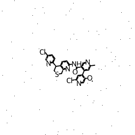 COc1cnc(Cl)cc1-c1cc(C)ncc1C(=O)Nc1ccc2c(n1)CSCC2c1ccc(Cl)cn1